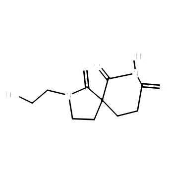 BN1C(=O)CCC2(CCN(CCO)C2=O)C1=O